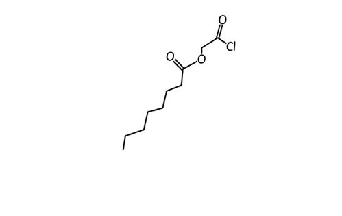 CCCCCCCC(=O)OCC(=O)Cl